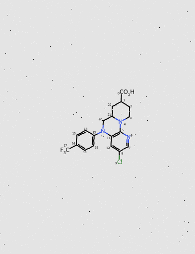 O=C(O)C1CCN2c3ncc(Cl)cc3N(c3ccc(C(F)(F)F)cc3)CC2C1